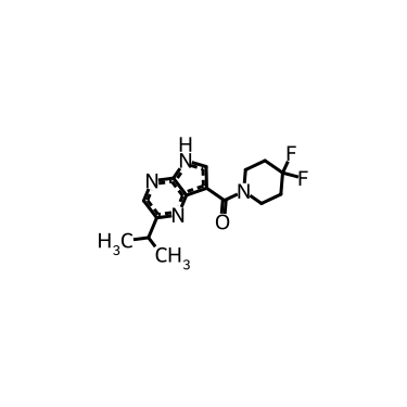 CC(C)c1cnc2[nH]cc(C(=O)N3CCC(F)(F)CC3)c2n1